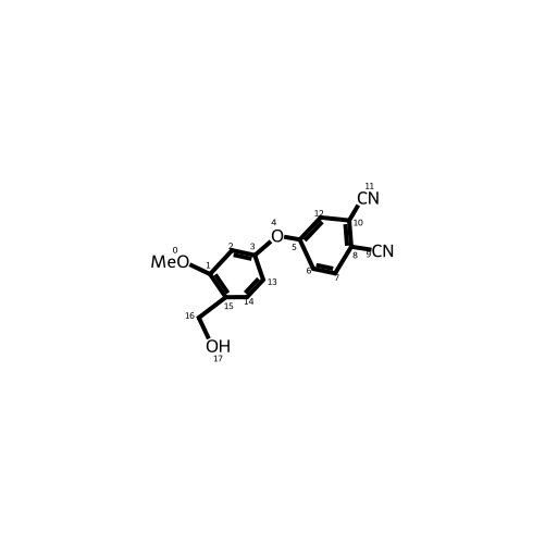 COc1cc(Oc2ccc(C#N)c(C#N)c2)ccc1CO